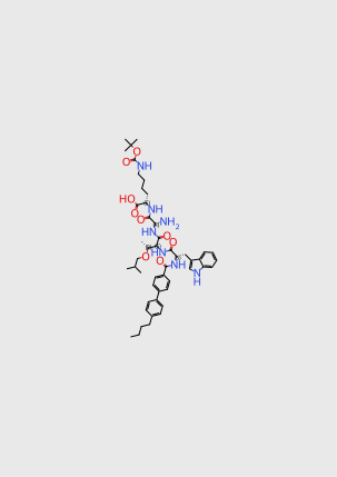 CCCCc1ccc(-c2ccc(C(=O)N[C@@H](Cc3c[nH]c4ccccc34)C(=O)N[C@H](C(=O)N[C@@H](N)C(=O)N[C@@H](CCCCNC(=O)OC(C)(C)C)C(=O)O)[C@@H](C)OCC(C)C)cc2)cc1